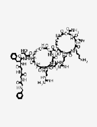 CC(C)C[C@@H]1NC(=O)[C@H](CCCCN)NC(=O)[C@H](CCCNC(=N)N)NC(=O)[C@@H](NC(=O)[C@@H]2CC(=O)NCCCC[C@H](NC(=O)[C@@H](NC(=O)[C@H](Cc3ccccc3)NC(=O)CNC(=O)CNC(=O)CNCc3ccccc3)C(C)O)C(=O)N[C@@H](C)C(=O)N[C@@H](CCCNC(=N)N)C(=O)N[C@@H](CCCCN)C(=O)N2)CCCCNC(=O)C[C@@H](C(N)=O)NC1=O